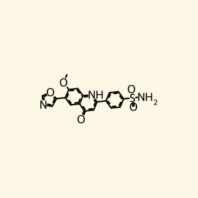 COc1cc2[nH]c(-c3ccc(S(N)(=O)=O)cc3)cc(=O)c2cc1-c1cnco1